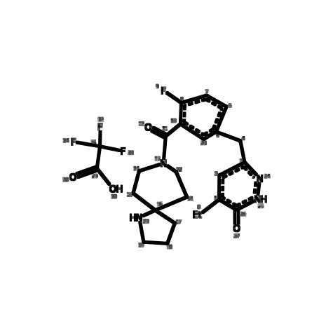 CCc1cc(Cc2ccc(F)c(C(=O)N3CCC4(CCCN4)CC3)c2)n[nH]c1=O.O=C(O)C(F)(F)F